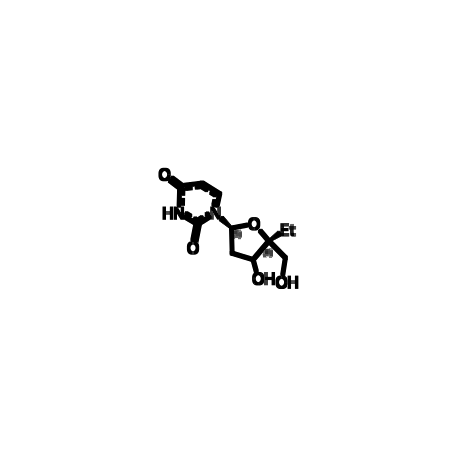 CC[C@]1(CO)O[C@H](n2ccc(=O)[nH]c2=O)CC1O